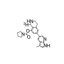 [2H]C1NCCc2cc(-c3cnc4[nH]cc(C)c4c3)cc(OC(=O)N3CCCC3)c21